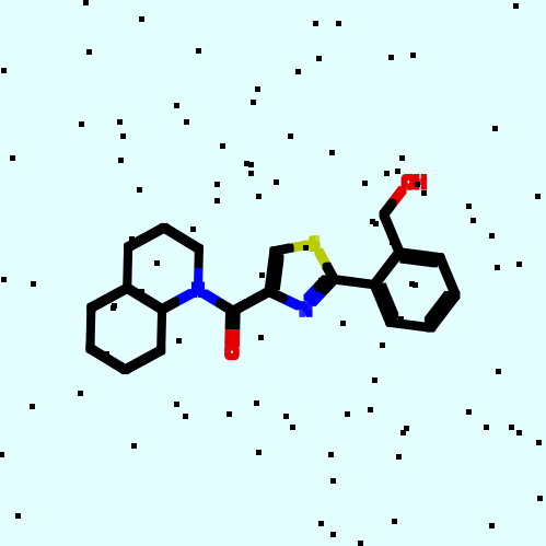 O=C(c1csc(-c2ccccc2CO)n1)N1CCCC2CCCCC21